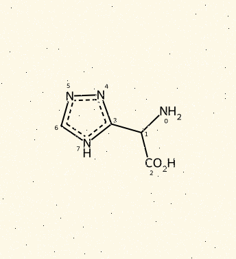 NC(C(=O)O)c1nnc[nH]1